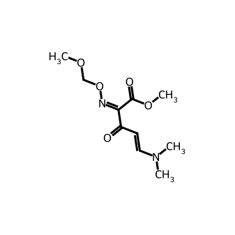 COCON=C(C(=O)C=CN(C)C)C(=O)OC